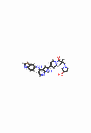 CC(C)(CN1CCC(O)C1)C(=O)N1CC=C(c2cc3c(Nc4ccc5ncsc5c4)ccnc3[nH]2)CC1